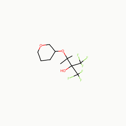 CC(C)(OC1CCCOC1)C(O)(C(F)(F)F)C(F)(F)F